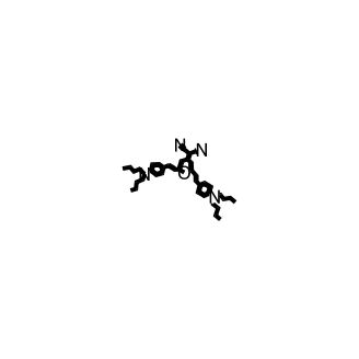 CCCCN(CCCC)c1ccc(/C=C/C2=CC(=C(C#N)C#N)C=C(/C=C/c3ccc(N(CCCC)CCCC)cc3)O2)cc1